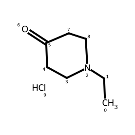 CCN1CCC(=O)CC1.Cl